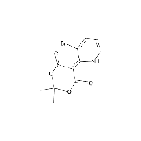 CC1(C)OC(=O)C(=C2NC=CC=C2Br)C(=O)O1